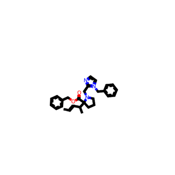 C/C=C/C(C)C1(C(=O)OCc2ccccc2)CCCN1Cc1nccn1Cc1ccccc1